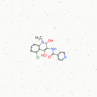 CN1c2cccc(Cl)c2C(O)=C(NC(=O)c2ccncc2)C1O